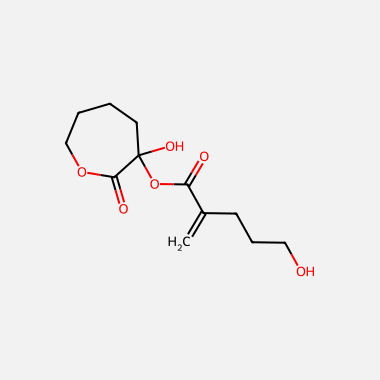 C=C(CCCO)C(=O)OC1(O)CCCCOC1=O